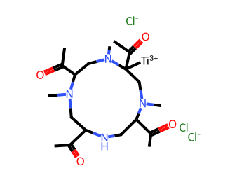 CC(=O)C1CN(C)C(C(C)=O)CN(C)[C]([Ti+3])(C(C)=O)CN(C)C(C(C)=O)CN1.[Cl-].[Cl-].[Cl-]